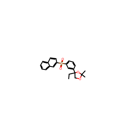 CCC1(c2cccc(S(=O)(=O)c3ccc4ccccc4c3)c2)COC(C)(C)O1